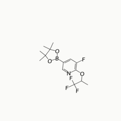 CC(Oc1ncc(B2OC(C)(C)C(C)(C)O2)cc1F)C(F)(F)F